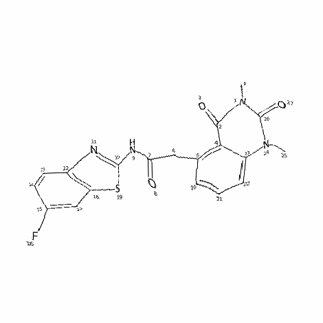 Cn1c(=O)c2c(CC(=O)Nc3nc4ccc(F)cc4s3)cccc2n(C)c1=O